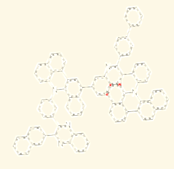 c1ccc(-c2ccc(-c3nc4cc(-c5cc6c(c7ccccc57)N(c5cccc(-c7nc8ccccc8nc7-c7ccc8ccccc8c7)c5)c5cccc7cccc-6c57)ccc4nc3-c3ccccc3N3c4c(ccc5ccccc45)-c4cccc5cccc3c45)cc2)cc1